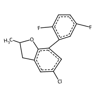 CC1Cc2cc(Cl)cc(-c3cc(F)ccc3F)c2O1